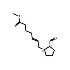 COC(=O)CCCC=CC[C@@H]1CCC[C@H]1C=O